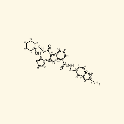 Nc1nc2ccc(CNC(=O)c3cccn4c(C(=O)NCC5(O)CCCCC5)c(-c5ccsc5)nc34)cc2s1